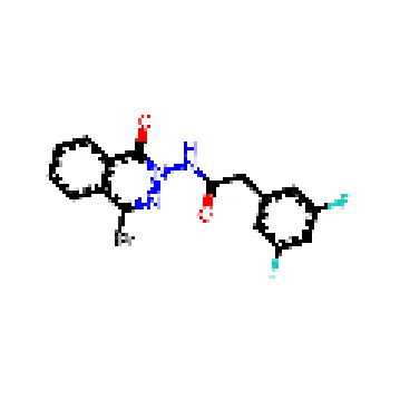 CC(C)c1nn(NC(=O)Cc2cc(F)cc(F)c2)c(=O)c2ccccc12